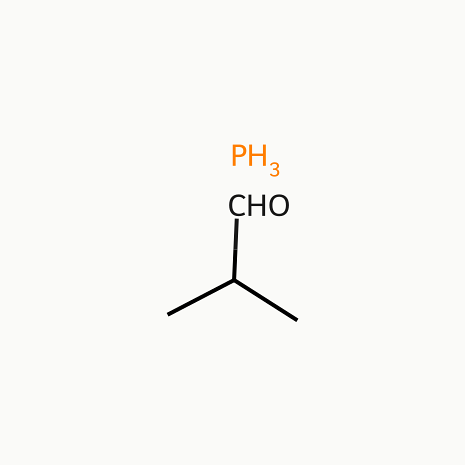 CC(C)C=O.P